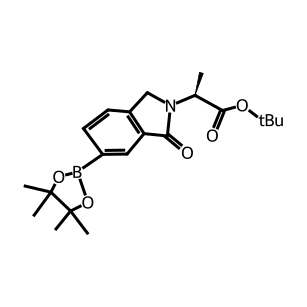 C[C@@H](C(=O)OC(C)(C)C)N1Cc2ccc(B3OC(C)(C)C(C)(C)O3)cc2C1=O